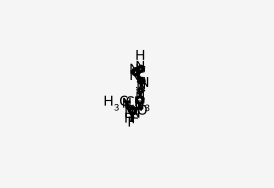 CN(C)Cc1cc(C(=O)N2CCN(C3C[C](n4cc(-c5ncnc6[nH]ccc56)cn4)C3)CC2)nc(C(F)(F)F)n1